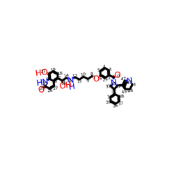 O=C(c1cccc(OCCCCCNCC(O)c2ccc(O)c3[nH]c(=O)ccc23)c1)N1CC(c2ccccc2)C1C1CN2CCC1CC2